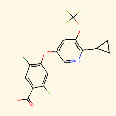 O=C(O)c1cc(Cl)c(Oc2cnc(C3CC3)c(OC(F)(F)F)c2)cc1F